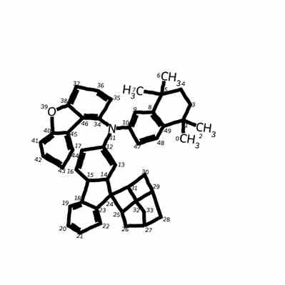 CC1(C)CCC(C)(C)c2cc(N(C3=CC4C(C=C3)c3ccccc3C43C4CC5CC6CC3C64C5)c3cccc4oc5ccccc5c34)ccc21